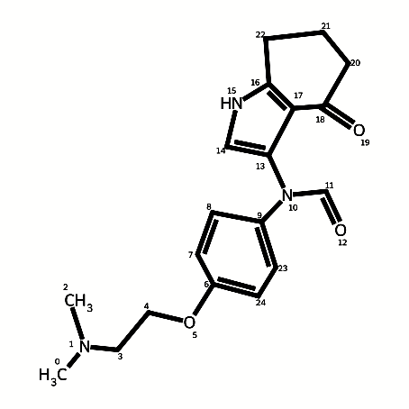 CN(C)CCOc1ccc(N(C=O)c2c[nH]c3c2C(=O)CCC3)cc1